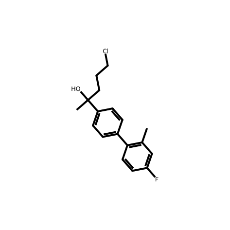 Cc1cc(F)ccc1-c1ccc(C(C)(O)CCCCl)cc1